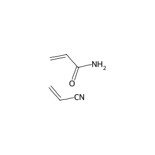 C=CC#N.C=CC(N)=O